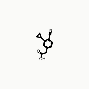 N#Cc1ccc(CC(=O)O)cc1C1CC1